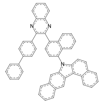 c1ccc(-c2ccc(-c3nc4ccccc4nc3-c3ccc(-n4c5cc6ccccc6cc5c5c6ccccc6ccc54)c4ccccc34)cc2)cc1